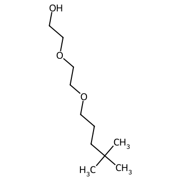 CC(C)(C)CCCOCCOCCO